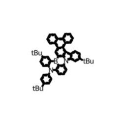 CC(C)(C)c1ccc(N2c3ccc(C(C)(C)C)cc3B3c4c2cccc4-n2c4cc(C(C)(C)C)ccc4c4c5c6ccccc6c6ccccc6c5cc3c42)cc1